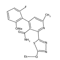 CCOc1nnc(-c2nc(C)cc(-c3c(F)cccc3OC)c2C(N)=O)s1